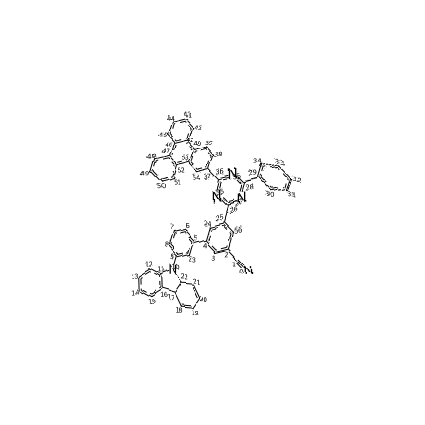 N#Cc1cc(-c2cccc(N3c4ccccc4C4C=CC=CC43)c2)cc(-c2nc(-c3ccccc3)nc(-c3ccc4c5ccccc5c5ccccc5c4c3)n2)c1